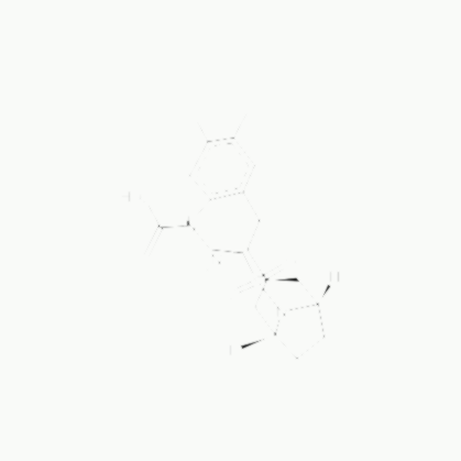 CC(=O)NCCS(=O)(=O)N1[C@@H]2CC[C@H]1C[C@H]([C@H](N)Cc1cc(F)c(F)cc1F)C2